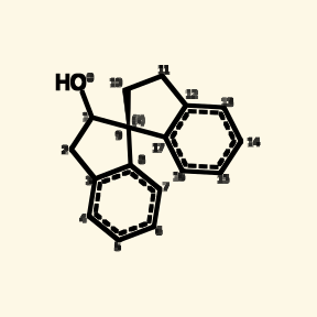 OC1Cc2ccccc2[C@]12CCc1ccccc12